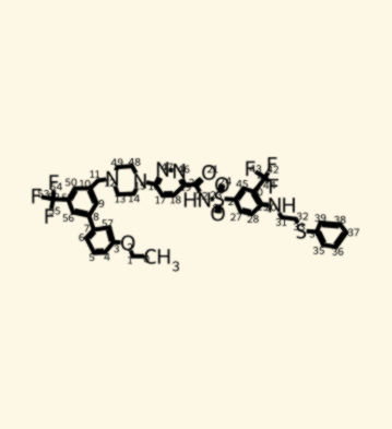 CCOc1cccc(-c2cc(CN3CCN(c4ccc(C(=O)NS(=O)(=O)c5ccc(NCCSc6ccccc6)c(C(F)(F)F)c5)nn4)CC3)cc(C(F)(F)F)c2)c1